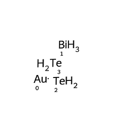 [Au].[BiH3].[TeH2].[TeH2]